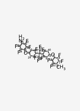 Cc1c(F)c(F)c(Oc2ccc(C(c3ccc(Oc4c(F)c(F)c(N)c(F)c4F)cc3)(C(F)(F)F)C(F)(F)F)cc2)c(F)c1F